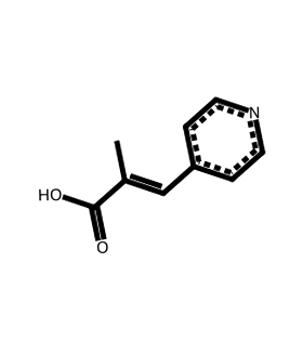 C/C(=C\c1ccncc1)C(=O)O